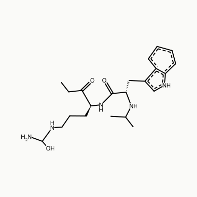 CCC(=O)[C@H](CCCNC(N)O)NC(=O)[C@H](Cc1c[nH]c2ccccc12)NC(C)C